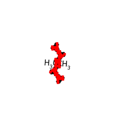 Cc1cc(-c2ccc(N(c3ccccc3)c3ccc(-c4ccc(C(c5ccccc5)c5ccccc5)cc4)cc3)cc2)c2ccccc2c1-c1c(C)cc(-c2ccc(N(c3ccccc3)c3ccc(-c4ccc(N(c5ccccc5)c5ccccc5)cc4)cc3)cc2)c2ccccc12